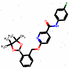 CC1(C)OB(c2ccccc2COc2ccc(C(=O)Nc3ccc(F)cc3)cn2)OC1(C)C